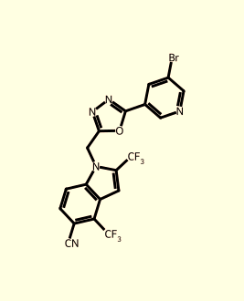 N#Cc1ccc2c(cc(C(F)(F)F)n2Cc2nnc(-c3cncc(Br)c3)o2)c1C(F)(F)F